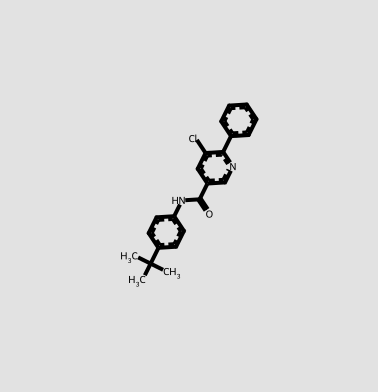 CC(C)(C)c1ccc(NC(=O)c2cnc(-c3ccccc3)c(Cl)c2)cc1